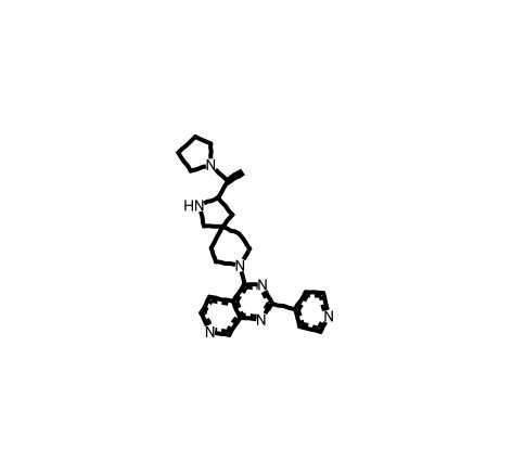 C=C(C1CC2(CCN(c3nc(-c4ccncc4)nc4cnccc34)CC2)CN1)N1CCCC1